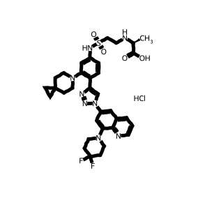 C[C@H](NCCS(=O)(=O)Nc1ccc(-c2cn(-c3cc(N4CCC(F)(F)CC4)c4ncccc4c3)nn2)c(N2CCC3(CC2)CC3)c1)C(=O)O.Cl